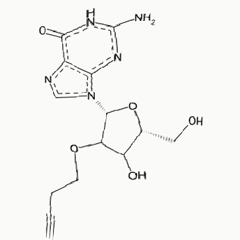 C#CCCOC1C(O)[C@@H](CO)O[C@H]1n1cnc2c(=O)[nH]c(N)nc21